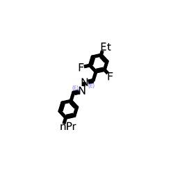 CCCc1ccc(/C=N/N=C/c2c(F)cc(CC)cc2F)cc1